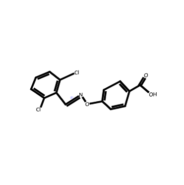 O=C(O)c1ccc(O/N=C/c2c(Cl)cccc2Cl)cc1